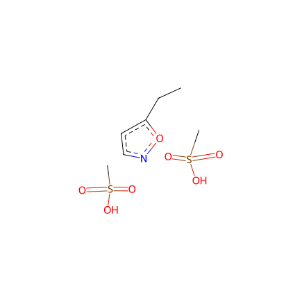 CCc1ccno1.CS(=O)(=O)O.CS(=O)(=O)O